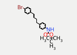 CC(C)(C)OC(=O)Nc1ccc(CC/C=C/c2ccc(Br)cc2)cc1